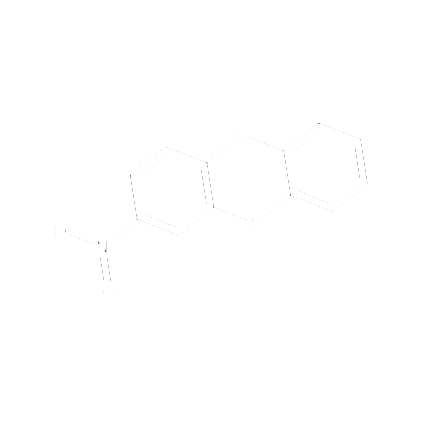 O=[N+]([O-])c1ccc2c(c1)Sc1ccccc1S2